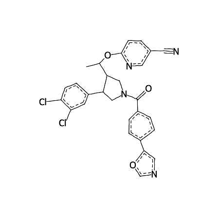 CC(Oc1ccc(C#N)cn1)C1CN(C(=O)c2ccc(-c3cnco3)cc2)CC1c1ccc(Cl)c(Cl)c1